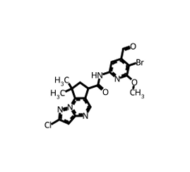 COc1nc(NC(=O)C2CC(C)(C)c3c2cnc2cc(Cl)nn32)cc(C=O)c1Br